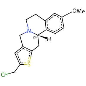 COc1ccc2c(c1)CCN1Cc3cc(CCl)sc3C[C@@H]21